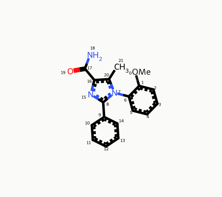 COc1ccccc1-n1c(-c2ccccc2)nc(C(N)=O)c1C